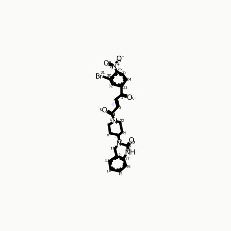 O=C(/C=C/C(=O)N1CCC(N2Cc3ccccc3NC2=O)CC1)c1ccc([N+](=O)[O-])c(Br)c1